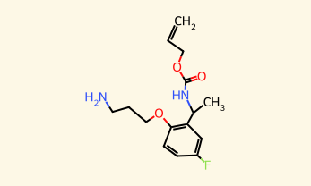 C=CCOC(=O)NC(C)c1cc(F)ccc1OCCCN